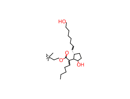 CCCCC=C(C(=O)OCC[Si](C)(C)C)C1[C@H](O)CC[C@H]1C=CCCCCCCO